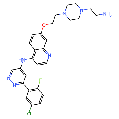 NCCN1CCN(CCOc2ccc3c(Nc4cnnc(-c5cc(Cl)ccc5F)c4)ccnc3c2)CC1